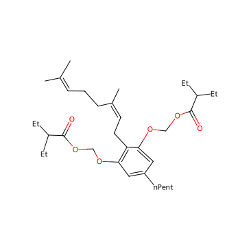 CCCCCc1cc(OCOC(=O)C(CC)CC)c(CC=C(C)CCC=C(C)C)c(OCOC(=O)C(CC)CC)c1